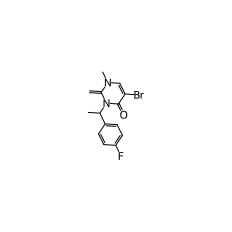 C=C1N(C)C=C(Br)C(=O)N1C(C)c1ccc(F)cc1